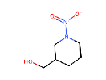 O=[N+]([O-])N1CCCC(CO)C1